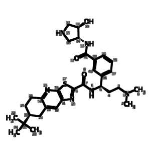 CN(C)CC[C@@H](NC(=O)c1nc2cc3c(nc2s1)CC[C@H](C(C)(C)C)C3)c1cccc(C(=O)N[C@@H]2CNC[C@H]2O)c1